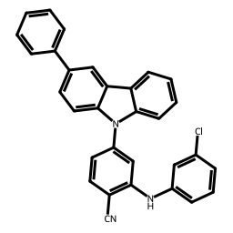 N#Cc1ccc(-n2c3ccccc3c3cc(-c4ccccc4)ccc32)cc1Nc1cccc(Cl)c1